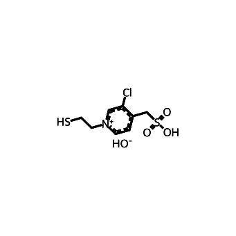 O=S(=O)(O)Cc1cc[n+](CCS)cc1Cl.[OH-]